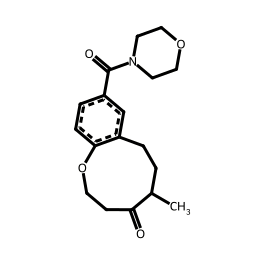 CC1CCc2cc(C(=O)N3CCOCC3)ccc2OCCC1=O